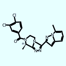 Cc1cccc2cc(-c3nnc4n3CCN(C(=O)c3ccc(Cl)c(Cl)c3)[C@@H]4C)nn12